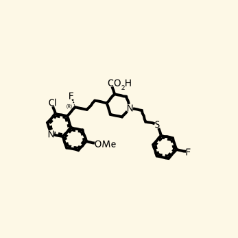 COc1ccc2ncc(Cl)c([C@H](F)CCC3CCN(CCSc4cccc(F)c4)CC3C(=O)O)c2c1